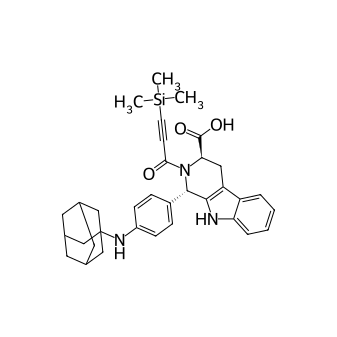 C[Si](C)(C)C#CC(=O)N1[C@@H](c2ccc(NC34CC5CC(CC(C5)C3)C4)cc2)c2[nH]c3ccccc3c2C[C@@H]1C(=O)O